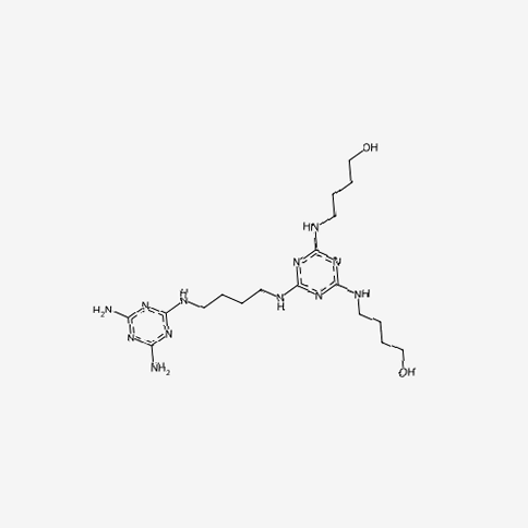 Nc1nc(N)nc(NCCCCNc2nc(NCCCCO)nc(NCCCCO)n2)n1